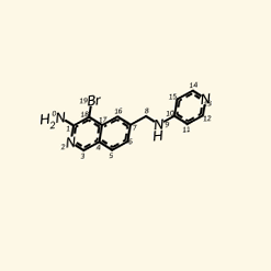 Nc1ncc2ccc(CNc3ccncc3)cc2c1Br